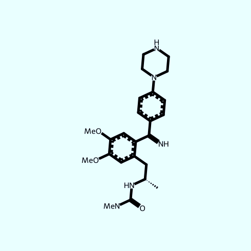 CNC(=O)N[C@@H](C)Cc1cc(OC)c(OC)cc1C(=N)c1ccc(N2CCNCC2)cc1